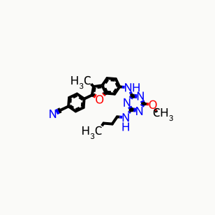 CCCCNc1nc(Nc2ccc3c(C)c(-c4ccc(C#N)cc4)oc3c2)nc(OC)n1